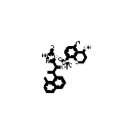 Cc1cccc2cccc(C(C)C(NS(=O)(=O)c3ccc(Cl)c4c3OCCC4O)c3n[nH]c(=O)o3)c12